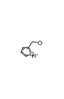 [H+].[O]Cc1ccco1